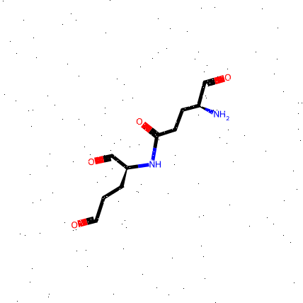 N[C@H](C=O)CCC(=O)N[C@H](C=O)CCC=O